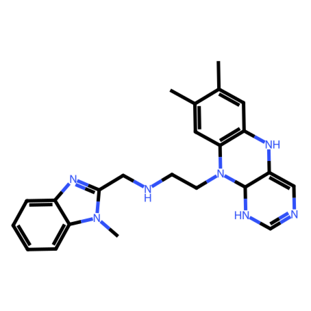 Cc1cc2c(cc1C)N(CCNCc1nc3ccccc3n1C)C1NC=NC=C1N2